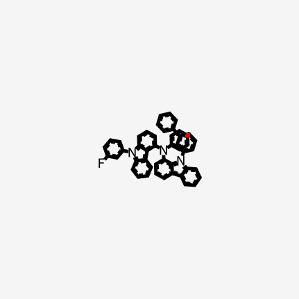 Fc1cccc(-n2c3ccccc3c3c(N(c4ccccc4)c4cccc5c6ccccc6n(-c6cccc(-c7ccccc7)c6)c45)cccc32)c1